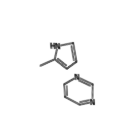 Cc1ccc[nH]1.c1cncnc1